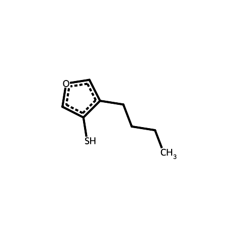 CCCCc1cocc1S